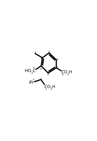 CC(C)CC(=O)O.Cc1ccc(C(=O)O)cc1C(=O)O